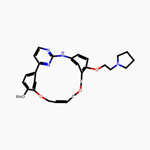 COc1ccc2cc1OC/C=C\COCc1cc(ccc1OCCN1CCCC1)Nc1nccc-2n1